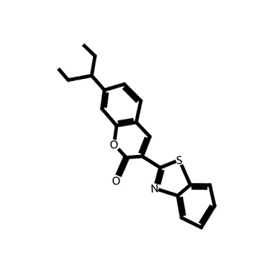 CCC(CC)c1ccc2cc(-c3nc4ccccc4s3)c(=O)oc2c1